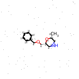 C[C@@H]1CNC[C@H](COCc2ccccc2)O1